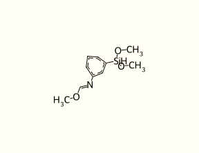 COC=Nc1cccc([SiH](OC)OC)c1